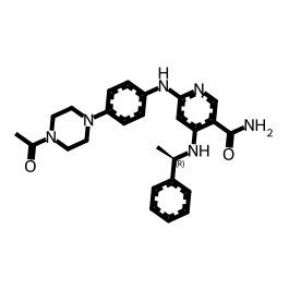 CC(=O)N1CCN(c2ccc(Nc3cc(N[C@H](C)c4ccccc4)c(C(N)=O)cn3)cc2)CC1